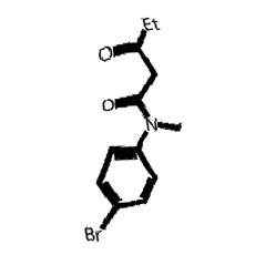 CCC(=O)CC(=O)N(C)c1ccc(Br)cc1